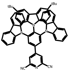 CC(C)(C)c1ccc2c(c1)c1cc(C(C)(C)C)ccc1n2-c1c(-n2c3ccccc3c3ccccc32)cc(-c2cc(C#N)nc(C#N)c2)cc1-n1c2ccccc2c2ccccc21